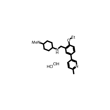 CCOc1ccc(-c2ccc(C)nc2)cc1CNC1CCC(NC)CC1.Cl.Cl